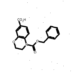 O=C(O)c1ccc2c(c1)OCCN2C(=O)OCc1ccccc1